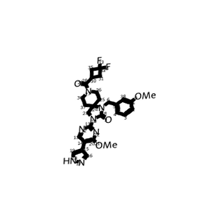 COc1cccc(CN2C(=O)N(c3ncc(-c4cn[nH]c4)c(OC)n3)CC23CCN(C(=O)C2CC(F)(F)C2)CC3)c1